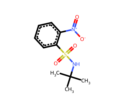 CC(C)(C)NS(=O)(=O)c1ccccc1[N+](=O)[O-]